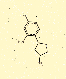 Nc1cc(Cl)ccc1N1CC[C@@H](N)C1